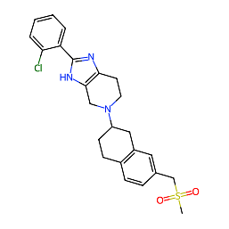 CS(=O)(=O)Cc1ccc2c(c1)CC(N1CCc3nc(-c4ccccc4Cl)[nH]c3C1)CC2